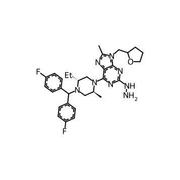 CC[C@@H]1CN(c2nc(NN)nc3c2nc(C)n3CC2CCCO2)[C@@H](C)CN1C(c1ccc(F)cc1)c1ccc(F)cc1